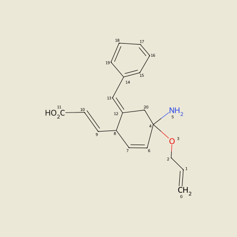 C=CCOC1(N)C=CC(C=CC(=O)O)C(=Cc2ccccc2)C1